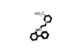 O=C(O)[C@@H]1CCCN(CCON=C2CCCCC2c2ccccc2)C1